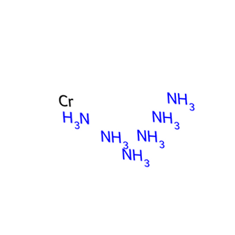 N.N.N.N.N.N.[Cr]